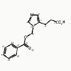 O=C(O)CCc1cncn1COC(=O)c1ccccc1